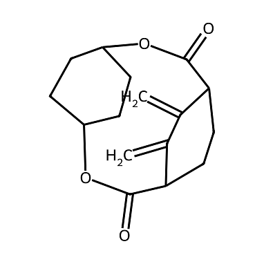 C=C1C(=C)C2CCC1C(=O)OC1CCC(CC1)OC2=O